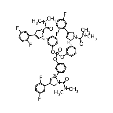 CN(C)C(=O)N1CC(c2cc(F)ccc2F)=C[C@H]1c1cccc(OP(=O)(Oc2cccc([C@@H]3C=C(c4cc(F)ccc4F)CN3C(=O)N(C)C)c2)Oc2cccc([C@@H]3C=C(c4cc(F)ccc4F)CN3C(=O)N(C)C)c2)c1